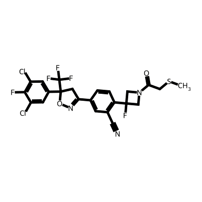 CSCC(=O)N1CC(F)(c2ccc(C3=NOC(c4cc(Cl)c(F)c(Cl)c4)(C(F)(F)F)C3)cc2C#N)C1